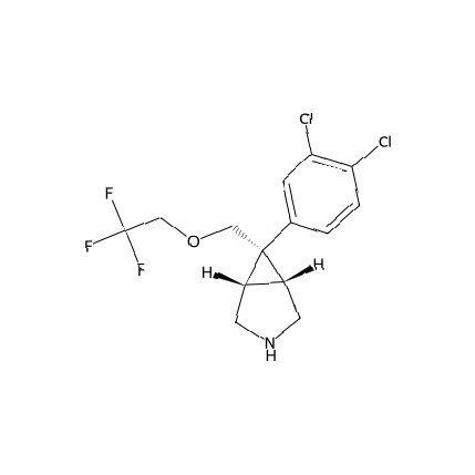 FC(F)(F)COC[C@]1(c2ccc(Cl)c(Cl)c2)[C@@H]2CNC[C@@H]21